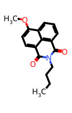 CCCCN1C(=O)c2cccc3c(OC)ccc(c23)C1=O